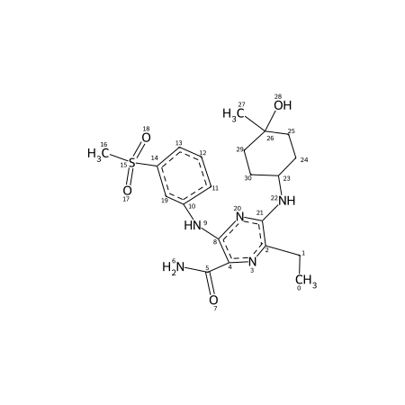 CCc1nc(C(N)=O)c(Nc2cccc(S(C)(=O)=O)c2)nc1NC1CCC(C)(O)CC1